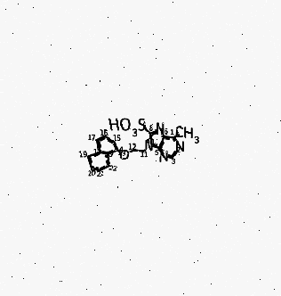 Cc1ncnc2c1nc(S(=O)(=O)O)n2CCOc1cccc2ccccc12